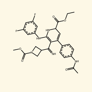 CCOC(=O)C1C=C(c2ccc(NC(C)=O)cc2)C(C(=N)C2CN(C(=O)OC)C2)=C(Nc2cc(F)cc(F)c2)N1